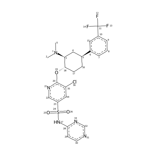 CN(C)[C@H]1C[C@@H](c2cccc(C(F)(F)F)c2)CC[C@@H]1Oc1ncc(S(=O)(=O)Nc2ccncn2)cc1Cl